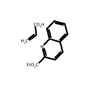 C=CC(=O)O.CCOC(=O)c1ccc2ccccc2n1